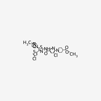 CCOC(=O)C1CCN(c2ncc(C(=O)Nc3nc(-c4cc(Cl)cs4)c(N4CC5CCC4CN5C)s3)cc2Cl)CC1